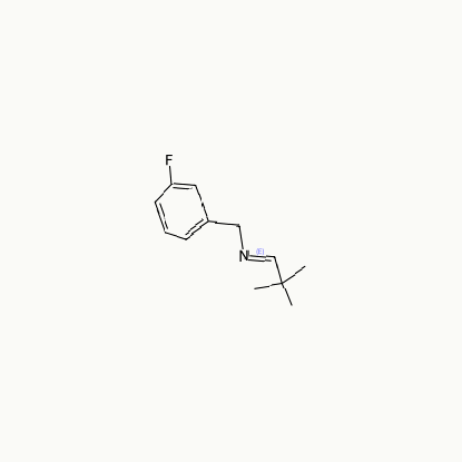 CC(C)(C)/C=N/Cc1cccc(F)c1